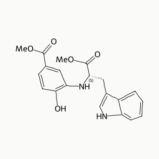 COC(=O)c1ccc(O)c(N[C@@H](Cc2c[nH]c3ccccc23)C(=O)OC)c1